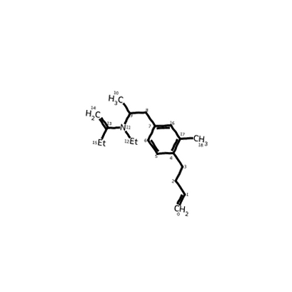 C=CCCc1ccc(CC(C)N(CC)C(=C)CC)cc1C